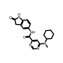 CN(c1cc(C(=O)Nc2ccc3c(c2)CC(=O)N3)ncn1)C1CCCCC1